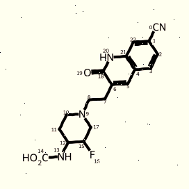 N#Cc1ccc2cc(CCN3CCC(NC(=O)O)C(F)C3)c(=O)[nH]c2c1